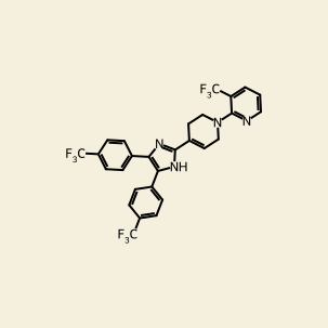 FC(F)(F)c1ccc(-c2nc(C3=CCN(c4ncccc4C(F)(F)F)CC3)[nH]c2-c2ccc(C(F)(F)F)cc2)cc1